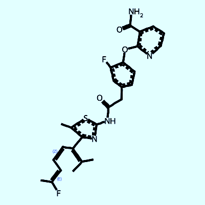 CC(C)=C(/C=C\C=C(/C)F)c1nc(NC(=O)Cc2ccc(Oc3ncccc3C(N)=O)c(F)c2)sc1C